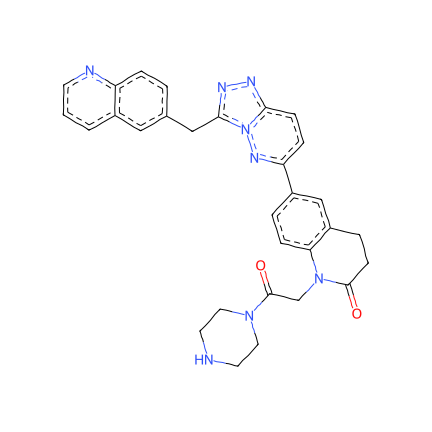 O=C(CN1C(=O)CCc2cc(-c3ccc4nnc(Cc5ccc6ncccc6c5)n4n3)ccc21)N1CCNCC1